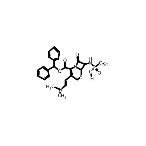 CCOP(=O)(NC1C(=O)N2C(C(=O)OC(c3ccccc3)c3ccccc3)=C(C=CN(C)C)CSC12)OCC